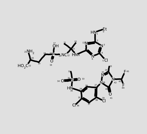 CCNc1nc(Cl)nc(NC(C)(C)C#N)n1.CP(=O)(O)CCC(N)C(=O)O.Cc1nn(-c2cc(NS(C)(=O)=O)c(Cl)cc2Cl)c(=O)n1C(F)F